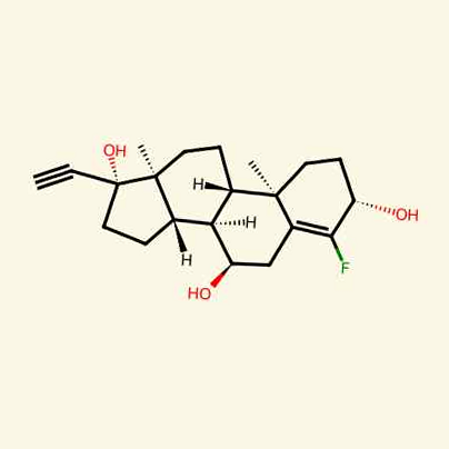 C#C[C@]1(O)CC[C@H]2[C@@H]3[C@H](O)CC4=C(F)[C@@H](O)CC[C@]4(C)[C@H]3CC[C@@]21C